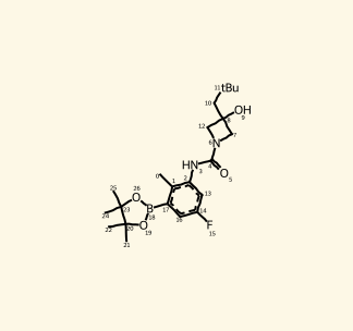 Cc1c(NC(=O)N2CC(O)(CC(C)(C)C)C2)cc(F)cc1B1OC(C)(C)C(C)(C)O1